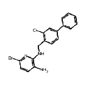 Nc1ccc(Br)nc1NCc1ccc(-c2ccccc2)cc1Cl